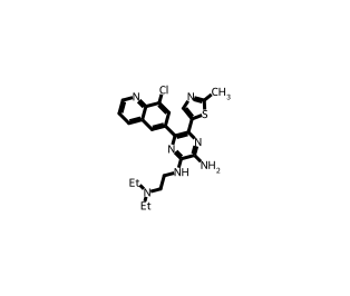 CCN(CC)CCNc1nc(-c2cc(Cl)c3ncccc3c2)c(-c2cnc(C)s2)nc1N